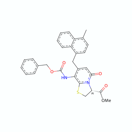 COC(=O)[C@@H]1CSc2c(NC(=O)OCc3ccccc3)c(Cc3ccc(C)c4ccccc34)cc(=O)n21